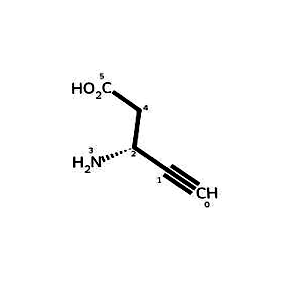 C#C[C@H](N)CC(=O)O